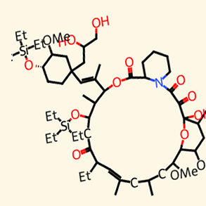 CCC1/C=C(\C)CC(C)CC(OC)C2OC(O)(C(=O)C(=O)N3CCCCC3C(=O)OC(C(C)=CC3(CC(O)CO)CC[C@H](O[Si](CC)(CC)CC)C(OC)C3)C(C)C(O[Si](CC)(CC)CC)CC1=O)C(C)CC2OC